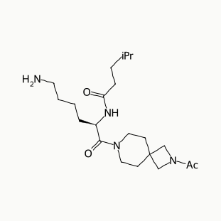 CC(=O)N1CC2(CCN(C(=O)[C@@H](CCCCN)NC(=O)CCC(C)C)CC2)C1